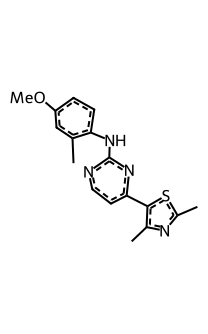 COc1ccc(Nc2nccc(-c3sc(C)nc3C)n2)c(C)c1